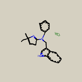 CC1(C)CCC(N(Cc2c[nH]c3ccccc23)c2ccccc2)=N1.Cl